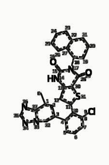 Cc1cc(-c2cccc(Cl)c2-c2cc3[nH]c(=O)n(-c4cccc5ccccc45)c(=O)c3s2)cn2ncnc12